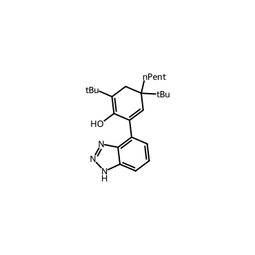 CCCCCC1(C(C)(C)C)C=C(c2cccc3[nH]nnc23)C(O)=C(C(C)(C)C)C1